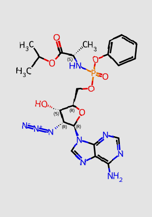 CC(C)OC(=O)[C@H](C)NP(=O)(OC[C@H]1O[C@@H](n2cnc3c(N)ncnc32)[C@H](N=[N+]=[N-])[C@@H]1O)Oc1ccccc1